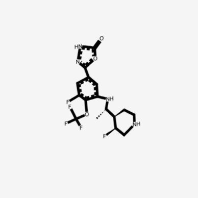 C[C@H](Nc1cc(-c2n[nH]c(=O)o2)cc(F)c1OC(F)(F)F)[C@H]1CCNC[C@H]1F